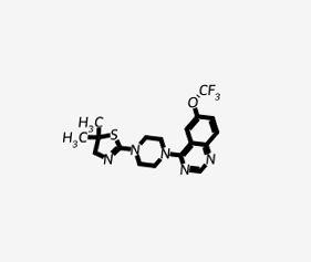 CC1(C)CN=C(N2CCN(c3ncnc4ccc(OC(F)(F)F)cc34)CC2)S1